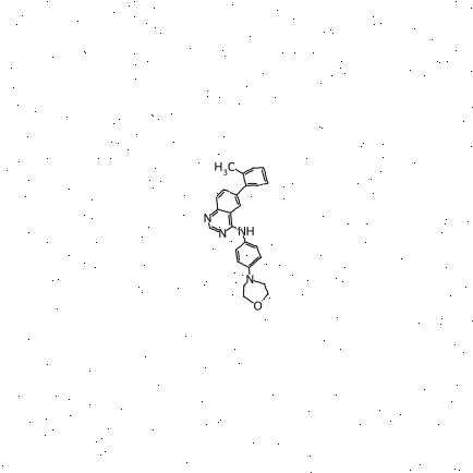 Cc1ccccc1-c1ccc2ncnc(Nc3ccc(N4CCOCC4)cc3)c2c1